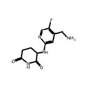 NCc1cc(NC2CCC(=O)NC2=O)ncc1F